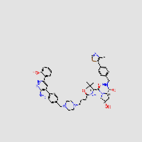 Cc1ncsc1-c1ccc(CNC(=O)[C@@H]2C[C@@H](O)CN2C(=O)[C@@H](NC(=O)CCCN2CCN(Cc3ccc(-c4cc(-c5ccccc5O)nnc4N)cc3)CC2)C(C)(C)C)cc1